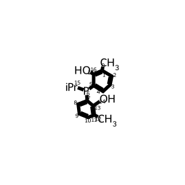 Cc1cccc(P(c2cccc(C)c2O)C(C)C)c1O